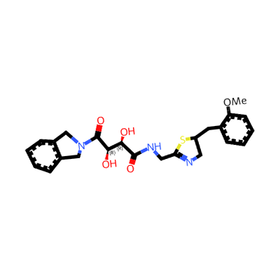 COc1ccccc1CC1CN=C(CNC(=O)[C@H](O)[C@@H](O)C(=O)N2Cc3ccccc3C2)S1